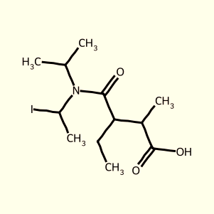 CCC(C(=O)N(C(C)C)C(C)I)C(C)C(=O)O